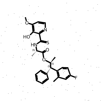 COc1ccnc(C(=S)N[C@@H](C)C(=O)O[C@@H](C)[C@@H](c2ccccc2)c2ccc(F)cc2C)c1O